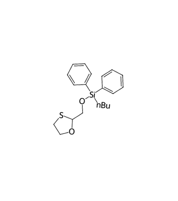 CCCC[Si](OCC1OCCS1)(c1ccccc1)c1ccccc1